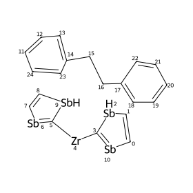 [CH]1=[CH][SbH][C]([Zr][C]2=[Sb][CH]=[CH][SbH]2)=[Sb]1.c1ccc(CCc2ccccc2)cc1